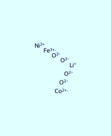 [Co+2].[Fe+3].[Li+].[Ni+2].[O-2].[O-2].[O-2].[O-2]